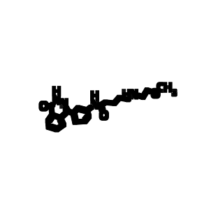 COCCNCCCCC(=O)Nc1cccc(-c2n[nH]c(=O)c3ccccc23)c1